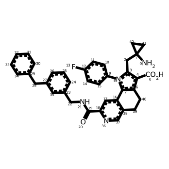 NC1(Cc2c(C(=O)O)c3c(n2-c2ccc(F)cc2)-c2cc(C(=O)NCc4cccc(Cc5ccccc5)c4)ncc2CC3)CC1